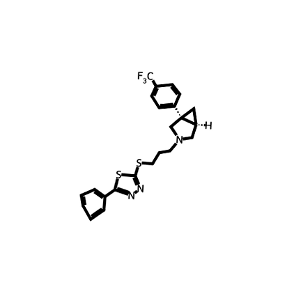 FC(F)(F)c1ccc([C@]23C[C@H]2CN(CCCSc2nnc(-c4ccccc4)s2)C3)cc1